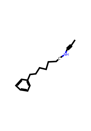 CC#CNCCCCCCCc1ccccc1